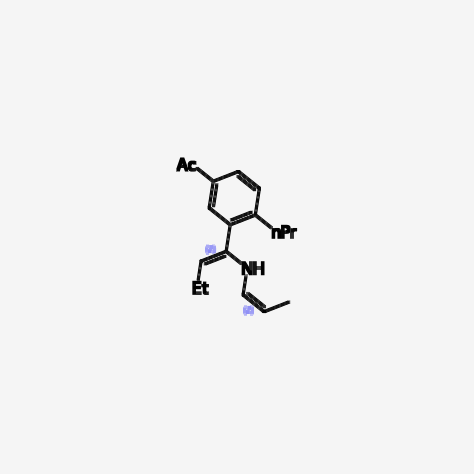 C/C=C\N/C(=C\CC)c1cc(C(C)=O)ccc1CCC